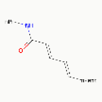 CCCCCC=CC=CC(=O)NCCC